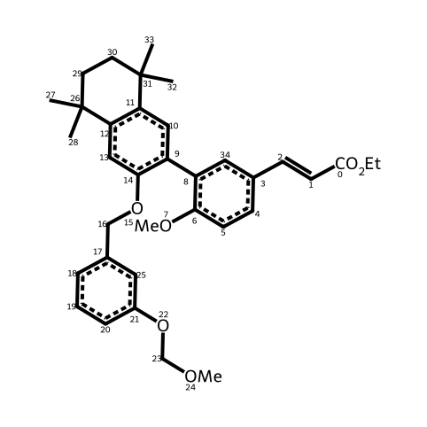 CCOC(=O)C=Cc1ccc(OC)c(-c2cc3c(cc2OCc2cccc(OCOC)c2)C(C)(C)CCC3(C)C)c1